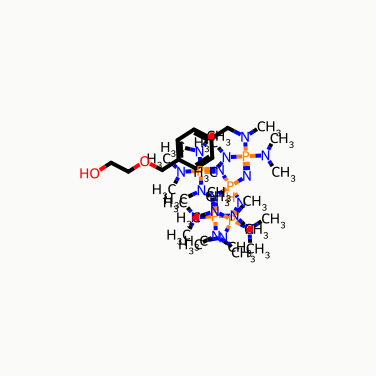 CN(C)P(=N[PH](N=P(N(C)C)(N(C)C)N(C)C)(N=P(N(C)C)(N(C)C)N(C)C)N=P(N(C)C)(N(C)C)N(C)Cc1ccc(COCCO)cc1)(N(C)C)N(C)C